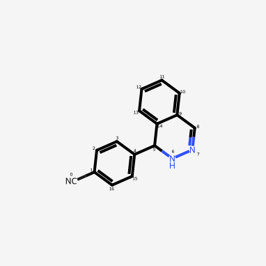 N#Cc1ccc(C2NN=Cc3ccccc32)cc1